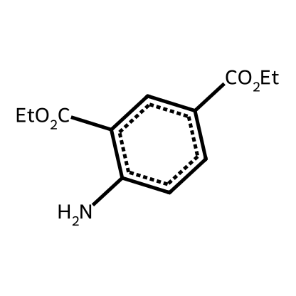 CCOC(=O)c1ccc(N)c(C(=O)OCC)c1